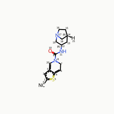 N#Cc1cc2c(s1)=CCN(C(=O)N[C@@H]1C[C@H]3CCN(C3)C1)C=2